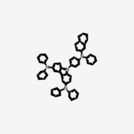 c1ccc(N(c2ccc(-n3c4ccc(N(c5ccccc5)c5ccccc5)cc4c4cc(N(c5ccccc5)c5ccccc5)ccc43)cc2)c2ccc3ccccc3c2)cc1